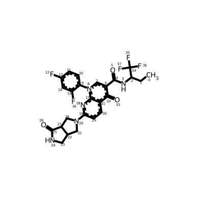 CCC(NC(=O)c1cn(-c2ccc(F)cc2F)c2nc(N3CC4CNC(=O)C4C3)ccc2c1=O)C(F)(F)F